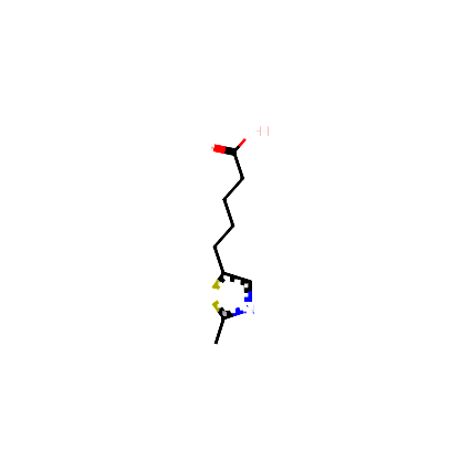 Cc1ncc(CCCCC(=O)O)s1